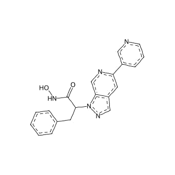 O=C(NO)C(Cc1ccccc1)n1ncc2cc(-c3cccnc3)ncc21